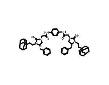 N=C1N(CC(=O)Nc2ccc(NC(=O)CN3C[C@H](Cc4ccccc4)N(CCC45CC6CC(CC(C6)C4)C5)C3=N)cc2)C[C@H](Cc2ccccc2)N1CCC12CC3CC(CC(C3)C1)C2